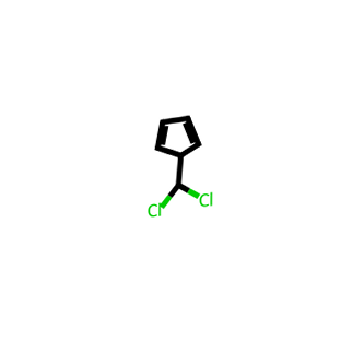 ClC(Cl)C1C=CC=C1